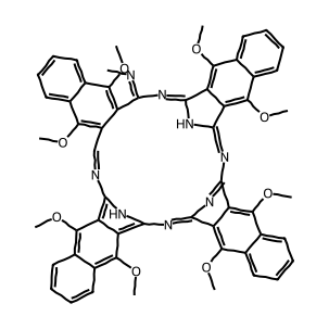 C/N=c1/nc2[nH]c(nc3nc(nc4[nH]c(ncc5c(OC)c6ccccc6c(OC)c15)c1c(OC)c5ccccc5c(OC)c41)-c1c-3c(OC)c3ccccc3c1OC)c1c(OC)c3ccccc3c(OC)c21